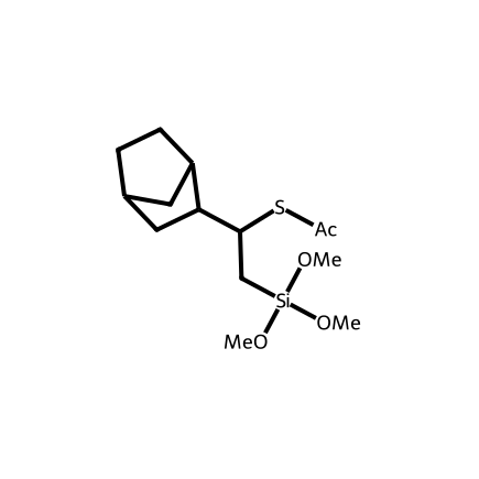 CO[Si](CC(SC(C)=O)C1CC2CCC1C2)(OC)OC